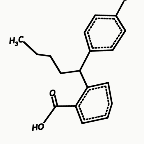 CCCCC(c1ccc(Br)cc1)c1ccccc1C(=O)O